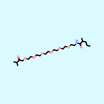 CCCC(C)C(=O)NCCOCCOCCOCCOCCOCCOCC(=O)C(C)C